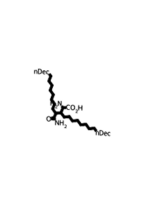 CCCCCCCCCCCCCCCCCCC(C(N)=O)C(CCCCCCCCCCCCCCCCCC)C(N)C(=O)O